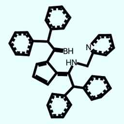 B=C(C1=CC=C/C1=C(/NCc1ccccn1)C(c1ccccc1)c1ccccc1)C(c1ccccc1)c1ccccc1